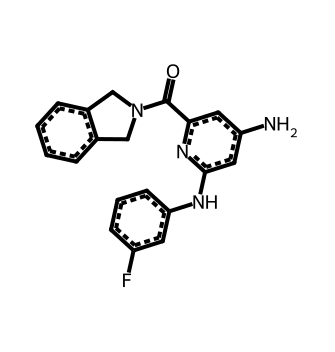 Nc1cc(Nc2cccc(F)c2)nc(C(=O)N2Cc3ccccc3C2)c1